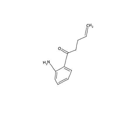 C=CCCC(=O)c1ccccc1N